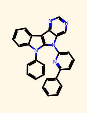 c1ccc(-c2cccc(-n3c4cncnc4c4c5ccccc5n(-c5ccccc5)c43)n2)cc1